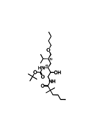 CCCCOC[C@@H](C[C@H](NC(=O)OC(C)(C)C)C(O)CNC(=O)C(C)(C)CCCC)C(C)C